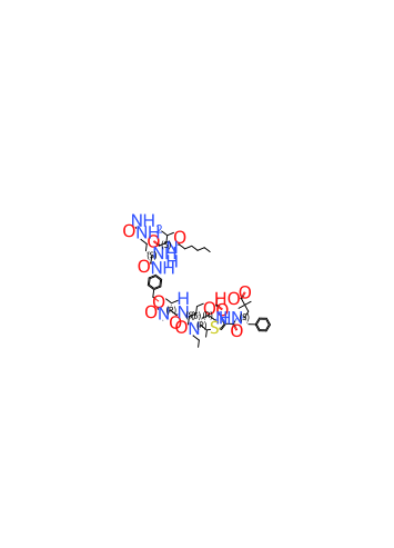 CCCCCC(=O)N[C@H](C(=O)N[C@@H](CCCNC(N)=O)C(=O)Nc1ccc(COC(=O)N(C)[C@@H](C(=O)N[C@H](C(=O)N(CCC)[C@H](C[C@@H](OC(C)=O)c2nc(C(=O)N[C@@H](Cc3ccccc3)CC(C)(C)C(=O)O)cs2)C(C)C)[C@@H](C)CC)C(C)C)cc1)C(C)C